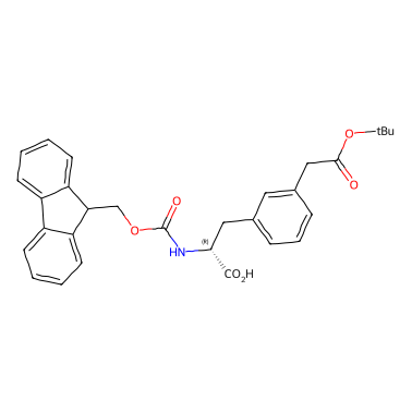 CC(C)(C)OC(=O)Cc1cccc(C[C@@H](NC(=O)OCC2c3ccccc3-c3ccccc32)C(=O)O)c1